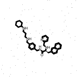 O=C(NCc1ccc(CNCCCNC2CCCCC2)cc1)[C@H](Cc1ccc2ccccc2c1)NCc1ccccn1